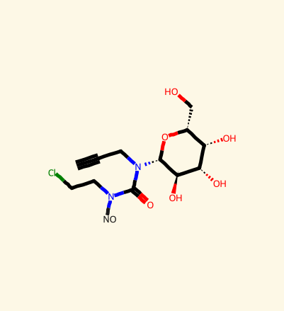 C#CCN(C(=O)N(CCCl)N=O)[C@@H]1O[C@H](CO)[C@H](O)[C@H](O)[C@H]1O